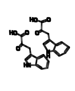 O=C(O)C(=O)Cc1c[nH]c2ccccc12.O=C(O)C(=O)Cc1c[nH]c2ccccc12